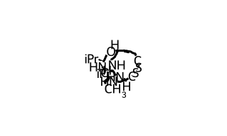 CC=C1CN[C@@H](C(C)C)CO[C@@H]2C=CCCSSC[C@H](CN1)NC[C@@H](C(C)C)NCC2